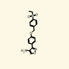 CCS(=O)(=O)c1ccc(COc2ccc(-c3nocc3N)cc2)cc1